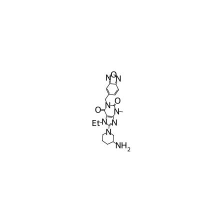 CCn1c(N2CCCC(N)C2)nc2c1c(=O)n(Cc1ccc3nonc3c1)c(=O)n2C